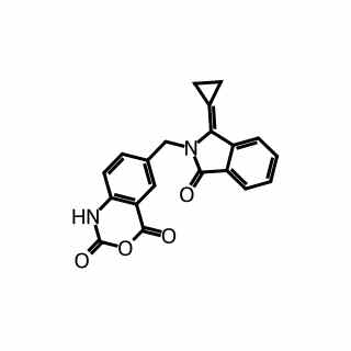 O=C1c2ccccc2C(=C2CC2)N1Cc1ccc2[nH]c(=O)oc(=O)c2c1